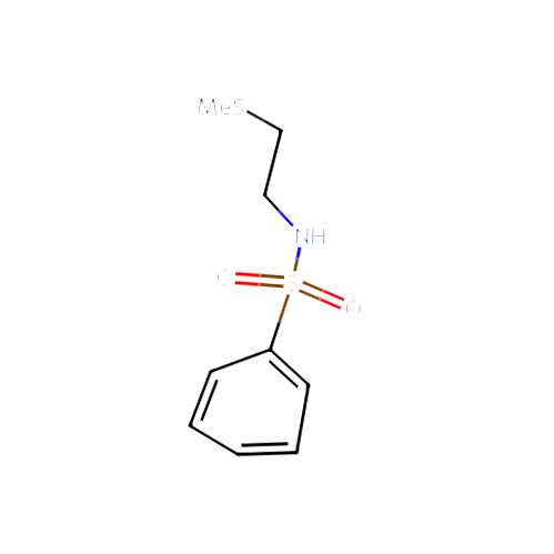 CSCCNS(=O)(=O)c1ccccc1